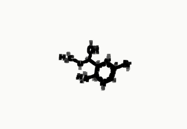 COC(O)c1nc(Br)cnc1N